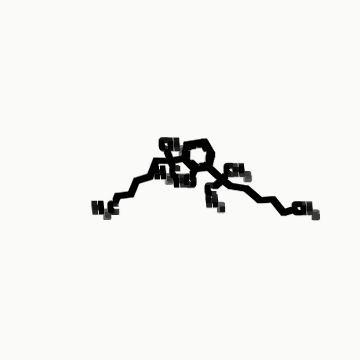 CCCCCCC(C)(C)c1cccc(C(C)(C)CCCCCC)c1O